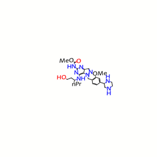 CCCC(CCO)Nc1nc(NC(=O)OC)nc2cnn(Cc3ccc(C4CNCCN4)cc3OC)c12